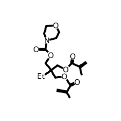 C=C(C)C(=O)OCC(CC)(COC(=O)C(=C)C)COC(=O)N1CCOCC1